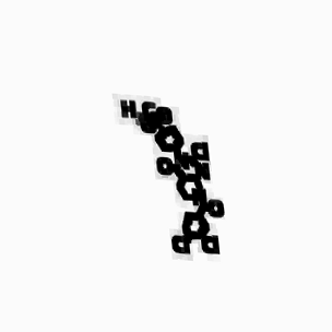 CS(=O)(=O)c1ccc(-n2c(Cl)nc3c(c2=O)CCN(C(=O)c2ccc(Cl)c(Cl)c2)C3)cc1